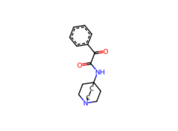 O=C(NC12CCN(CC1)CC2)C(=O)c1ccccc1